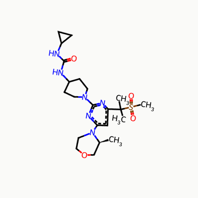 C[C@H]1COCCN1c1cc(C(C)(C)S(C)(=O)=O)nc(N2CCC(NC(=O)NC3CC3)CC2)n1